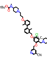 Cc1c(COc2cc(OCc3cncc(C#N)c3)c(CN3CCCC[C@H]3C(=O)O)cc2Cl)cccc1-c1cccc(OCCCN2CCC(N(C)C(=O)OC(C)(C)C)CC2)c1C